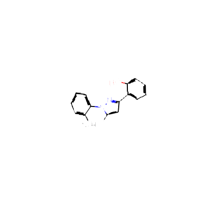 Cc1cc(-c2ccccc2O)nn1-c1ccccc1[N+](=O)[O-]